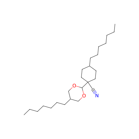 CCCCCCCC1CCC(C#N)(C2OCC(CCCCCCC)CO2)CC1